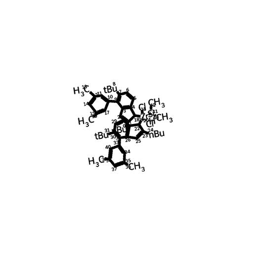 CCCCC1=Cc2c(ccc(C(C)(C)C)c2-c2cc(C)cc(C)c2)[CH]1[Zr]([Cl])([Cl])([CH]1C(CCCC)=Cc2c1ccc(C(C)(C)C)c2-c1cc(C)cc(C)c1)[SiH](C)C